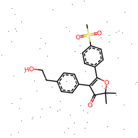 CC1(C)OC(c2ccc(S(C)(=O)=O)cc2)=C(c2ccc(CCO)cc2)C1=O